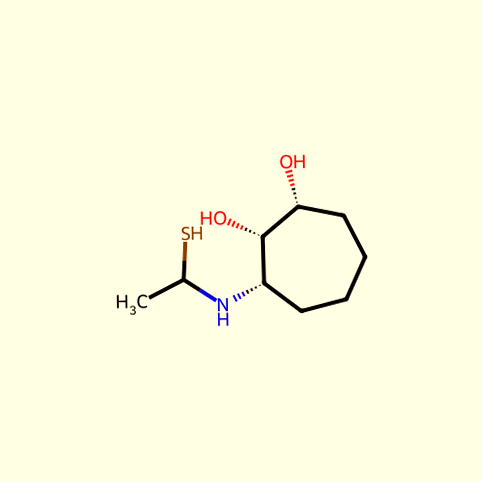 CC(S)N[C@H]1CCCC[C@@H](O)[C@H]1O